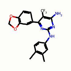 Cc1ccc(Nc2nc(N)c(C(F)(F)F)c(-c3ccc4c(c3)OCO4)n2)cc1C